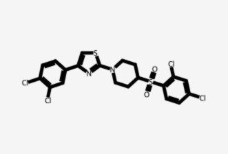 O=S(=O)(c1ccc(Cl)cc1Cl)C1CCN(c2nc(-c3ccc(Cl)c(Cl)c3)cs2)CC1